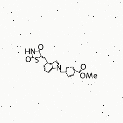 COC(=O)c1ccc(Cn2ccc3c(C=C4SC(=O)NC4=O)cccc32)cc1